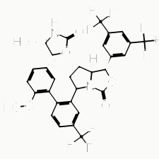 COc1ccc([C@H]2OC(=O)N[C@H]2C)cc1-c1ccc(C(F)(F)F)cc1C1CC[C@H]2[C@@H](c3cc(C(F)(F)F)cc(C(F)(F)F)c3)OC(=O)N12